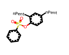 CCCCCc1ccc(OS(=O)(=O)c2ccccc2)c(CCCCC)c1